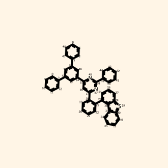 c1ccc(-c2cc(-c3ccccc3)cc(-c3cc(-c4ccccc4-c4cccc5sc6ccccc6c45)nc(-c4ccccc4)n3)c2)cc1